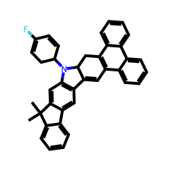 CC1(C)c2ccccc2-c2cc3c(cc21)N(C1C=CC(F)=CC1)C1Cc2c(c4ccccc4c4ccccc24)C=C31